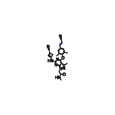 CNC(=O)Cn1nc(C)c2c(Oc3c(C)cc(/C=C/C#N)cc3C)nc(NC34CC(C#N)(C3)C4)nc21